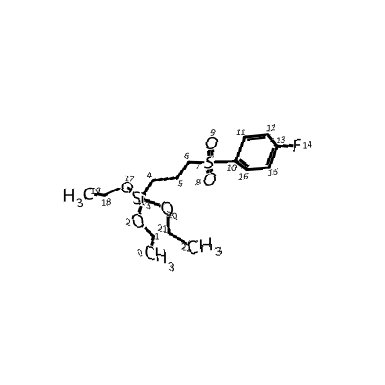 CCO[Si](CCCS(=O)(=O)c1ccc(F)cc1)(OCC)OCC